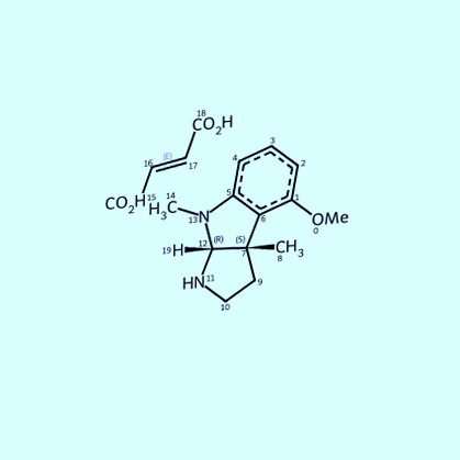 COc1cccc2c1[C@]1(C)CCN[C@@H]1N2C.O=C(O)/C=C/C(=O)O